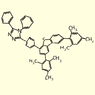 Cc1cc(C)c(-c2ccc3sc4c(-c5ccc(-c6nnc(-c7ccccc7)n6-c6ccccc6)cc5)cc(-c5c(C)cc(C)cc5C)cc4c3c2)c(C)c1